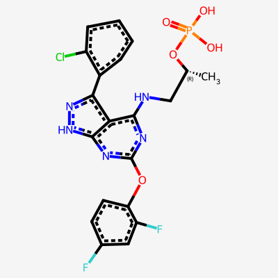 C[C@H](CNc1nc(Oc2ccc(F)cc2F)nc2[nH]nc(-c3ccccc3Cl)c12)OP(=O)(O)O